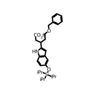 CC(C)[Si](Oc1ccc2[nH]c(C(CCOCc3ccccc3)CC(=O)O)cc2c1)(C(C)C)C(C)C